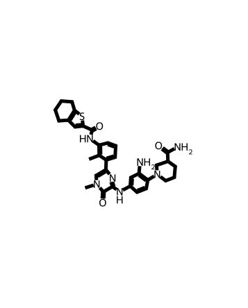 Cc1c(NC(=O)c2cc3c(s2)CCCC3)cccc1-c1cn(C)c(=O)c(Nc2ccc(N3CCCC(C(N)=O)C3)c(N)c2)n1